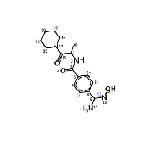 CC(NC(=O)c1ccc(/C(N)=N\O)cc1)C(=O)N1CC[CH]CC1